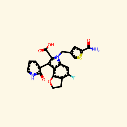 NC(=O)c1cc(Cn2c(C(=O)O)c(-c3ccc[nH]c3=O)c3c4c(c(F)cc32)CCO4)cs1